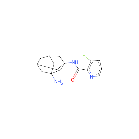 NC12CC3CC(C1)CC(NC(=O)c1ncccc1F)(C3)C2